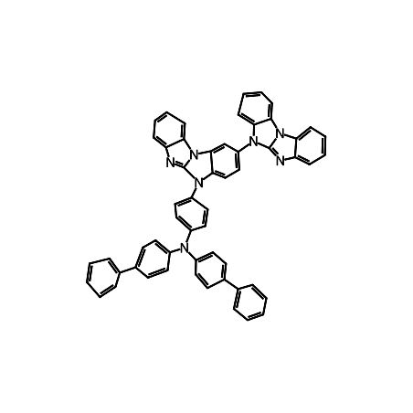 c1ccc(-c2ccc(N(c3ccc(-c4ccccc4)cc3)c3ccc(-n4c5ccc(-n6c7ccccc7n7c8ccccc8nc67)cc5n5c6ccccc6nc45)cc3)cc2)cc1